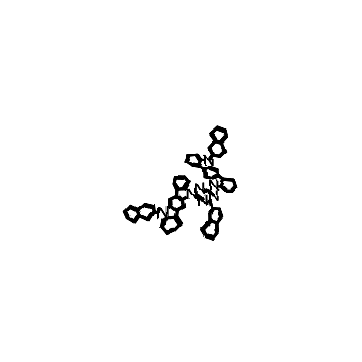 c1ccc2cc(-c3nc(-n4c5ccccc5c5cc6c(cc54)c4ccccc4n6-c4ccc5ccccc5c4)nc(-n4c5ccccc5c5cc6c(cc54)c4ccccc4n6-c4ccc5ccccc5c4)n3)ccc2c1